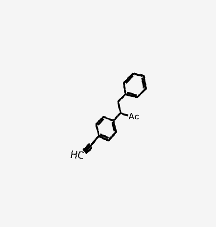 C#Cc1ccc(C(Cc2ccccc2)C(C)=O)cc1